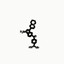 CCCN(CCC)c1ccc(C(=O)c2ccc3c(c2)c(C2=CCN4CCCCC4C2)cn3N)cc1